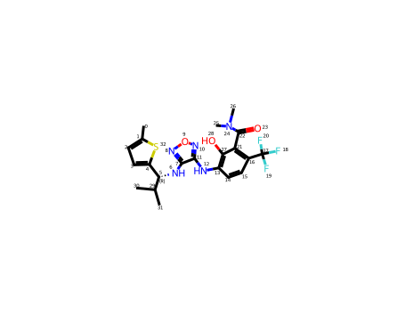 Cc1ccc([C@H](Nc2nonc2Nc2ccc(C(F)(F)F)c(C(=O)N(C)C)c2O)C(C)C)s1